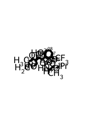 C=N/C(C)=C(O)\C(CO)=C(/C)C(O[PH](=O)N[C@@H](C)C(=O)OC(C)C)C1=CC(OC(F)(F)F)=CCC=C1O